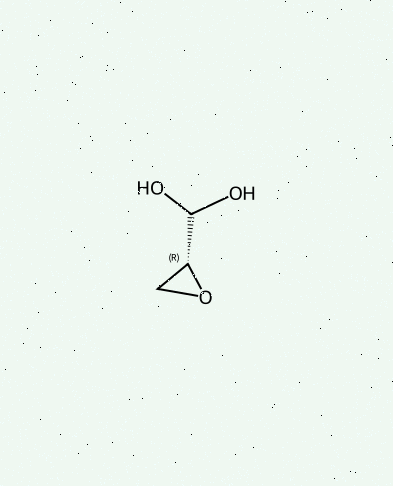 OC(O)[C@H]1CO1